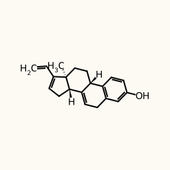 C=CC1=CC[C@H]2C3=CCc4cc(O)ccc4[C@H]3CC[C@]12C